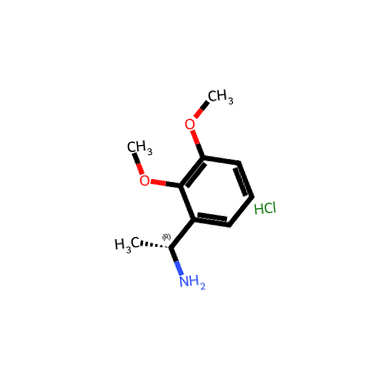 COc1cccc([C@@H](C)N)c1OC.Cl